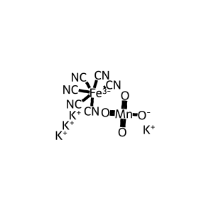 N#[C][Fe-3]([C]#N)([C]#N)([C]#N)([C]#N)[C]#N.[K+].[K+].[K+].[K+].[O]=[Mn](=[O])(=[O])[O-]